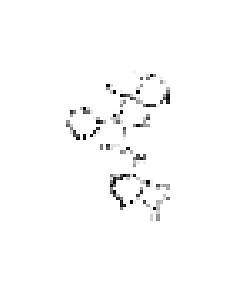 CC[C@@H](Nc1ncnc2[nH]cnc12)c1nc2cccc(F)c2c(=O)n1-c1ccccc1